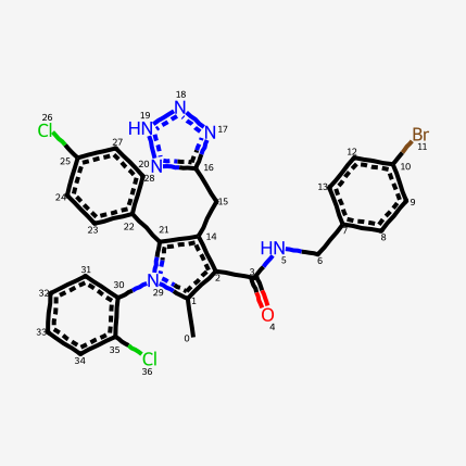 Cc1c(C(=O)NCc2ccc(Br)cc2)c(Cc2nn[nH]n2)c(-c2ccc(Cl)cc2)n1-c1ccccc1Cl